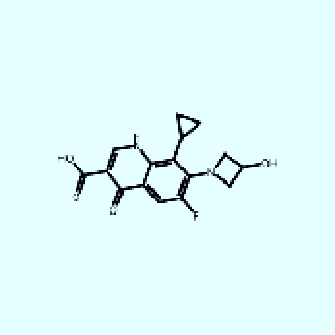 O=C(O)c1c[nH]c2c(C3CC3)c(N3CC(O)C3)c(F)cc2c1=O